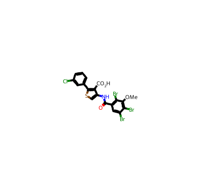 COc1c(Br)c(Br)cc(C(=O)Nc2csc(-c3cccc(Cl)c3)c2C(=O)O)c1Br